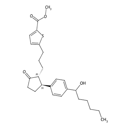 CCCCCC(O)c1ccc([C@H]2CCC(=O)[C@@H]2CCCc2ccc(C(=O)OC)s2)cc1